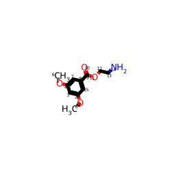 COc1cc(OC)cc(C(=O)OCCN)c1